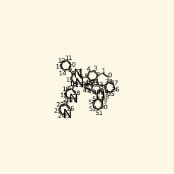 C1=Cc2ccc(-c3nc(-c4ccccc4)cc(-c4ccc(-c5cccnc5)nc4)n3)cc2C2(c3ccccc31)c1ccccc1-c1c2ccc2ccccc12